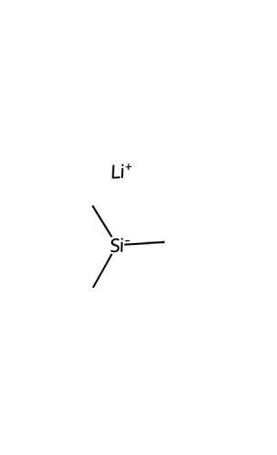 C[Si-](C)C.[Li+]